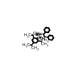 CC(C)c1cc(C(C)C)c(S(=O)(=O)N[C@H](c2ccccc2)[C@H](N)c2ccccc2)c(C(C)C)c1